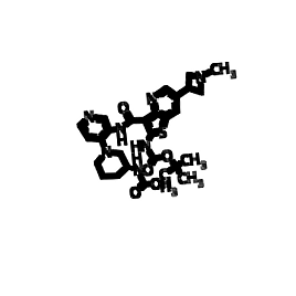 CN1CC(c2cnc3c(C(=O)Nc4cnccc4N4CCC[C@H](NC(=O)O)C4)c(NC(=O)OC(C)(C)C)sc3c2)C1